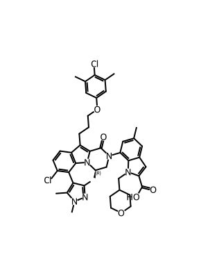 Cc1cc(N2C[C@@H](C)n3c(c(CCCOc4cc(C)c(Cl)c(C)c4)c4ccc(Cl)c(-c5c(C)nn(C)c5C)c43)C2=O)c2c(c1)cc(C(=O)O)n2CC1CCOCC1